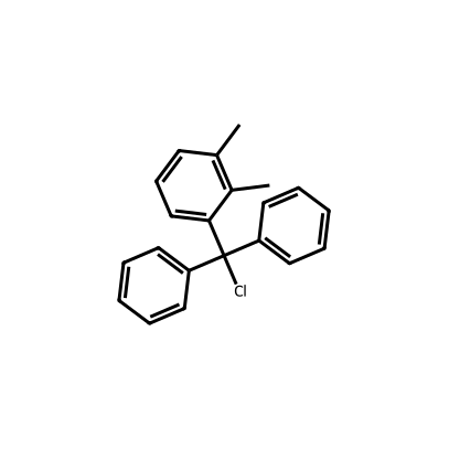 Cc1cccc(C(Cl)(c2ccccc2)c2ccccc2)c1C